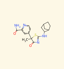 CC1(c2ccnc(C(N)=O)c2)SC(NC2CC3CCC2C3)=NC1=O